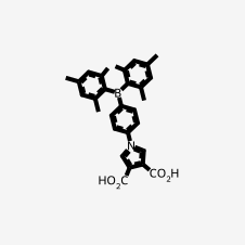 Cc1cc(C)c(B(c2ccc(-n3cc(C(=O)O)c(C(=O)O)c3)cc2)c2c(C)cc(C)cc2C)c(C)c1